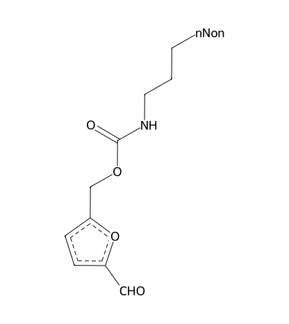 CCCCCCCCCCCCNC(=O)OCc1ccc(C=O)o1